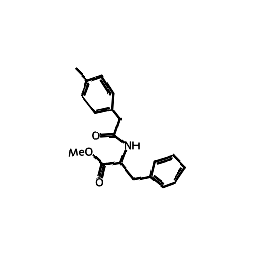 COC(=O)C(Cc1ccccc1)NC(=O)Cc1ccc(C)cc1